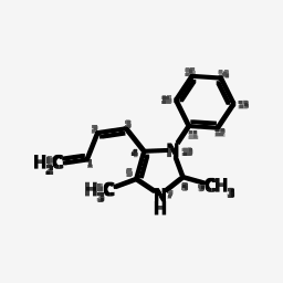 C=C/C=C\C1=C(C)NC(C)N1c1ccccc1